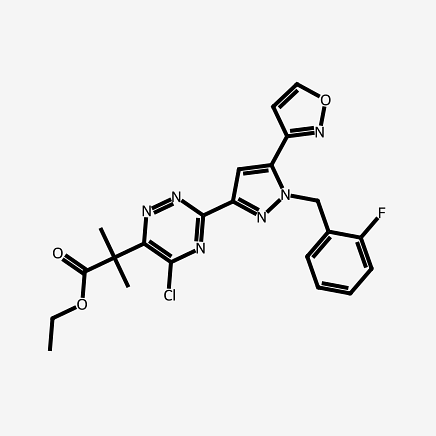 CCOC(=O)C(C)(C)c1nnc(-c2cc(-c3ccon3)n(Cc3ccccc3F)n2)nc1Cl